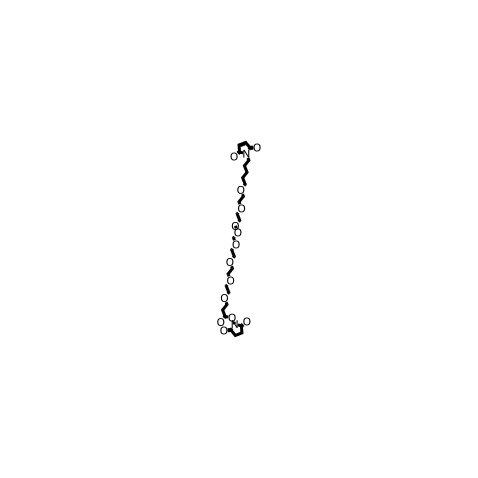 O=C(CCOCCOCCOCCOCOOCCOCCOCCCCCN1C(=O)C=CC1=O)ON1C(=O)CCC1=O